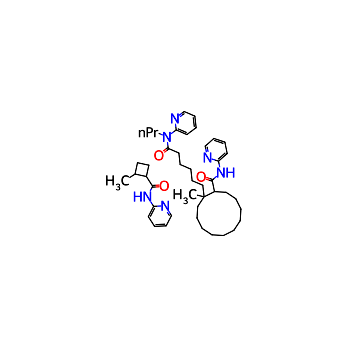 CC1CCC1C(=O)Nc1ccccn1.CCCN(C(=O)CCCCCC1(C)CCCCCCCCCCC1C(=O)Nc1ccccn1)c1ccccn1